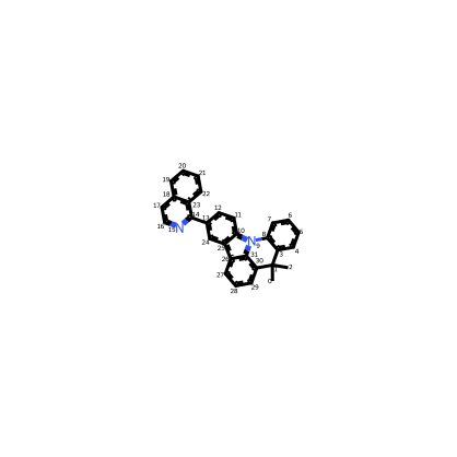 CC1(C)c2ccccc2-n2c3ccc(-c4nccc5ccccc45)cc3c3cccc1c32